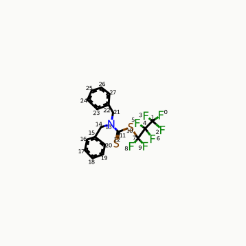 FC(F)(F)C(F)(F)C(F)(F)SC(=S)N(Cc1ccccc1)Cc1ccccc1